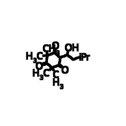 CC(C)CC(O)C1C(=O)C(C)(C)C(=O)C(C)(C)C1=O